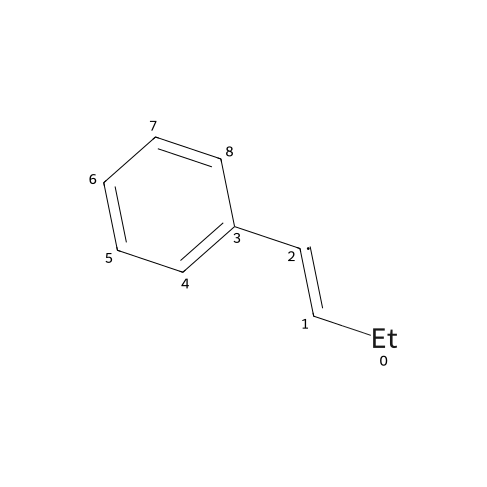 [CH2]CC=[C]c1ccccc1